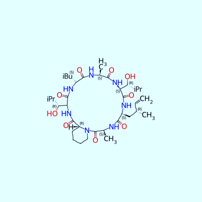 C=C[C@H](C)C[C@@H]1NC(=O)[C@H]([C@H](O)C(C)C)NC(=O)[C@H](C)NC(=O)C([C@@H](C)CC)NC(=O)C([C@H](O)C(C)C)NC(=O)[C@H]2CCCCN2C(=O)[C@H](C)NC1=O